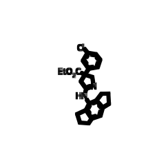 CCOC(=O)C1(c2cccc(Cl)c2)CN=C(Nc2c3c(cc4c2CCC4)CCC3)C1